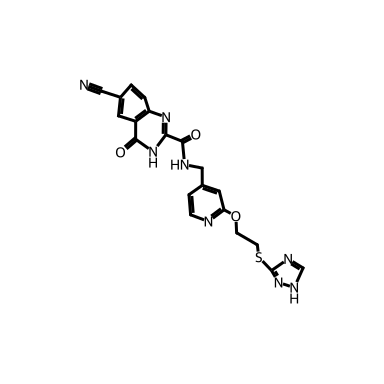 N#Cc1ccc2nc(C(=O)NCc3ccnc(OCCSc4nc[nH]n4)c3)[nH]c(=O)c2c1